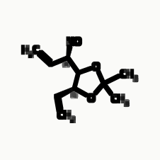 C=C[C@@H]1OC(C)(C)OC1[C@@H](C=C)N=O